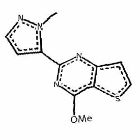 COc1nc(-c2ccnn2C)nc2ccsc12